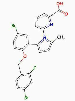 Cc1ccc(-c2cc(Br)ccc2OCc2ccc(Br)cc2F)n1-c1cccc(C(=O)O)n1